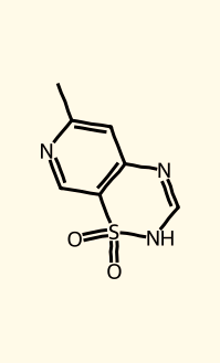 Cc1cc2c(cn1)S(=O)(=O)NC=N2